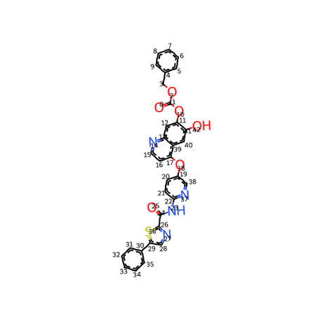 O=C(OCc1ccccc1)Oc1cc2nccc(Oc3ccc(NC(=O)c4ncc(-c5ccccc5)s4)nc3)c2cc1O